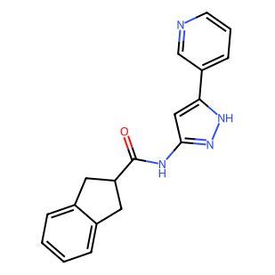 O=C(Nc1cc(-c2cccnc2)[nH]n1)C1Cc2ccccc2C1